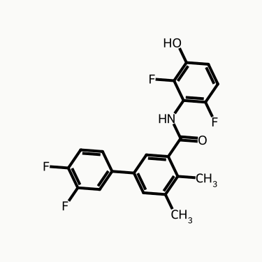 Cc1cc(-c2ccc(F)c(F)c2)cc(C(=O)Nc2c(F)ccc(O)c2F)c1C